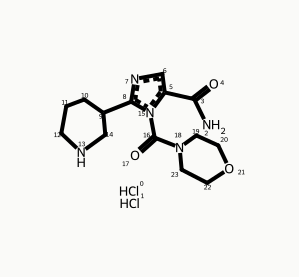 Cl.Cl.NC(=O)c1cnc(C2CCCNC2)n1C(=O)N1CCOCC1